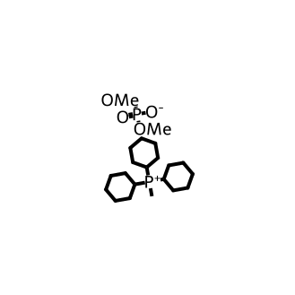 COP(=O)([O-])OC.C[P+](C1CCCCC1)(C1CCCCC1)C1CCCCC1